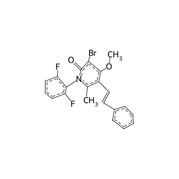 COc1c(/C=C/c2ccccc2)c(C)n(-c2c(F)cccc2F)c(=O)c1Br